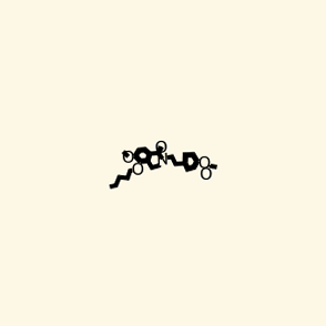 CCCCCOc1c(OC)ccc2c1CCN(CCc1ccc(OC(C)=O)cc1)C2=O